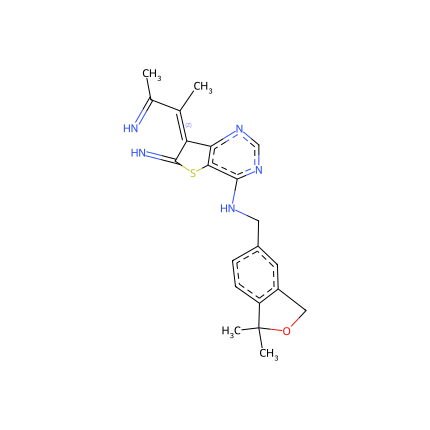 CC(=N)/C(C)=C1\C(=N)Sc2c(NCc3ccc4c(c3)COC4(C)C)ncnc21